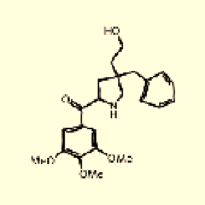 COc1cc(C(=O)C2CC(CCO)(Cc3ccccc3)CN2)cc(OC)c1OC